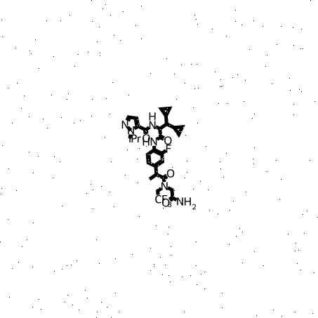 CC(C(=O)N(CC(N)=O)CC(F)(F)F)c1ccc(NC(=O)C(NC(=O)c2ccnn2C(C)C)C(C2CC2)C2CC2)c(F)c1